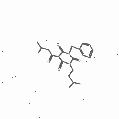 CC(C)CCN1C(=O)C(C(=O)CC(C)C)C(=O)N(Cc2ccccc2)C1=O